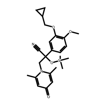 COc1ccc(C(C#N)(Cn2c(C)cc(=O)cc2C)O[Si](C)(C)C)cc1OCC1CC1